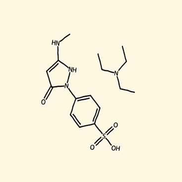 CCN(CC)CC.CNc1cc(=O)n(-c2ccc(S(=O)(=O)O)cc2)[nH]1